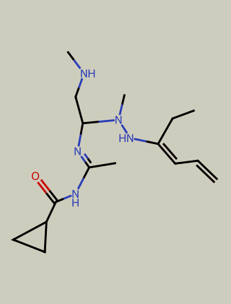 C=C/C=C(\CC)NN(C)C(CNC)N=C(C)NC(=O)C1CC1